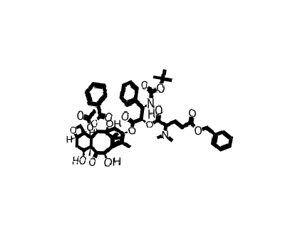 CC(=O)O[C@@]12CO[C@@H]1C[C@H](O)[C@@]1(C)C(=O)[C@H](O)C3=C(C)[C@@H](OC(=O)[C@H](OC(=O)C(CCC(=O)OCc4ccccc4)N(C)C)[C@@H](NC(=O)OC(C)(C)C)c4ccccc4)C[C@@](O)([C@@H](OC(=O)c4ccccc4)[C@H]21)C3(C)C